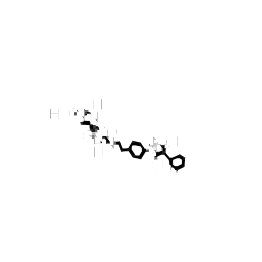 Cc1nn(-c2ccc(CCNC(=O)NS(=O)(=O)c3cn(C)c(C)n3)cc2)c(C)c1-c1ccccc1